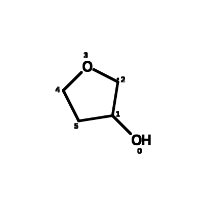 OC1[CH]OCC1